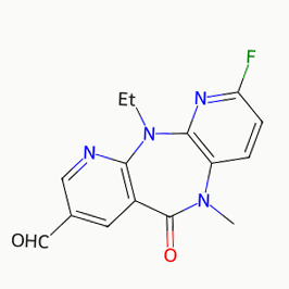 CCN1c2ncc(C=O)cc2C(=O)N(C)c2ccc(F)nc21